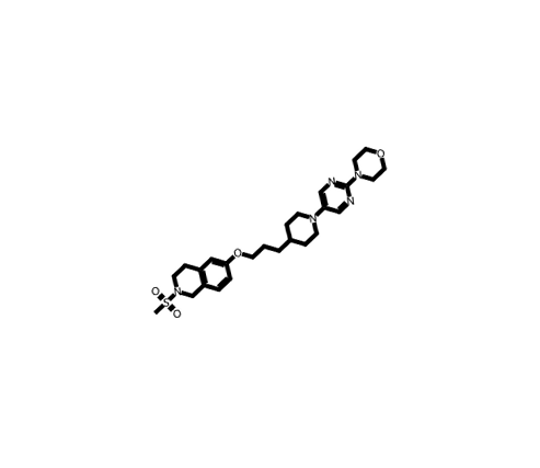 CS(=O)(=O)N1CCc2cc(OCCCC3CCN(c4cnc(N5CCOCC5)nc4)CC3)ccc2C1